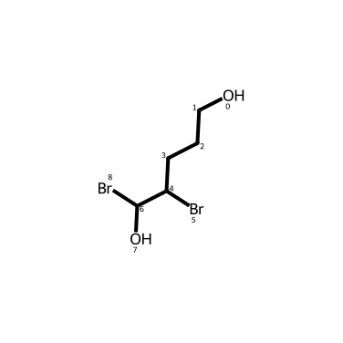 OCCCC(Br)C(O)Br